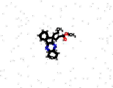 CCCC1(CCC(=O)OC)c2ccccc2-c2nc3ccccc3nc21